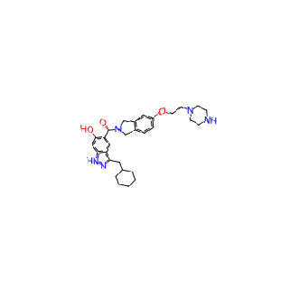 O=C(c1cc2c(CC3CCCCC3)n[nH]c2cc1O)N1Cc2ccc(OCCN3CCNCC3)cc2C1